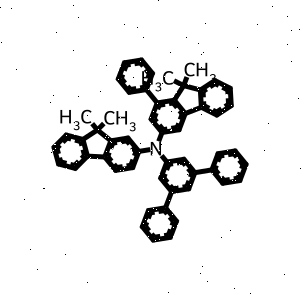 CC1(C)c2ccccc2-c2ccc(N(c3cc(-c4ccccc4)cc(-c4ccccc4)c3)c3cc(-c4ccccc4)c4c(c3)-c3ccccc3C4(C)C)cc21